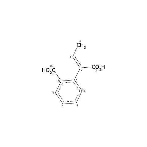 CC=C(C(=O)O)c1ccccc1C(=O)O